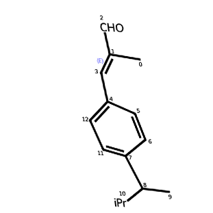 C/C(C=O)=C\c1ccc(C(C)C(C)C)cc1